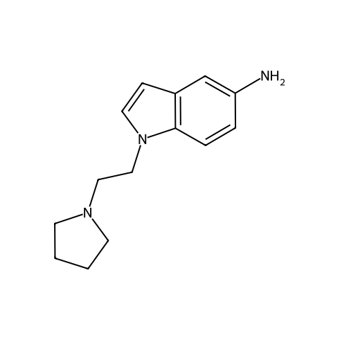 Nc1ccc2c(ccn2CCN2CCCC2)c1